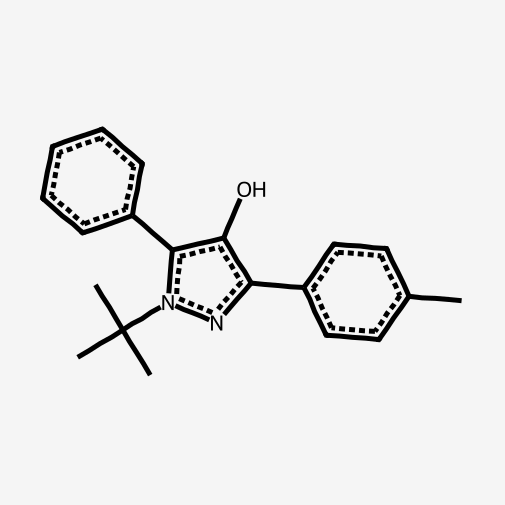 Cc1ccc(-c2nn(C(C)(C)C)c(-c3ccccc3)c2O)cc1